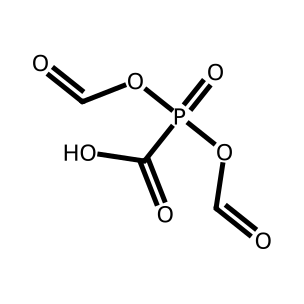 O=COP(=O)(OC=O)C(=O)O